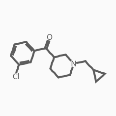 O=C(c1cccc(Cl)c1)C1CCCN(CC2CC2)C1